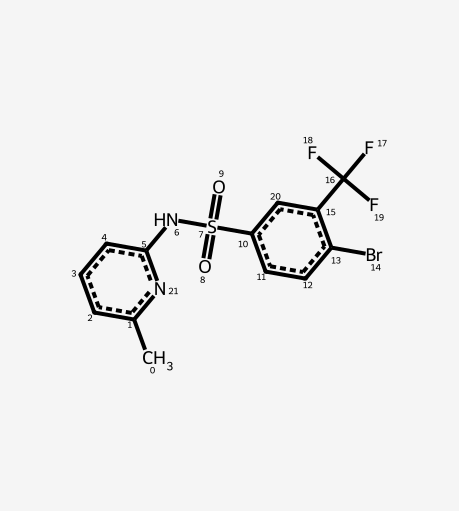 Cc1cccc(NS(=O)(=O)c2ccc(Br)c(C(F)(F)F)c2)n1